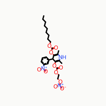 CCCCCCCCCOC(=O)OC1=C(C)NC(C)=C(OC(=O)OCCO[N+](=O)[O-])C1c1cccc([N+](=O)[O-])c1